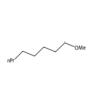 [CH2]CCCCCC[CH]OC